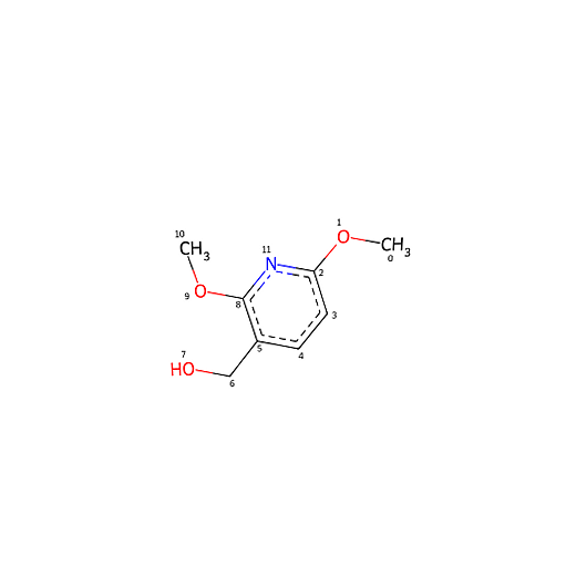 COc1ccc(CO)c(OC)n1